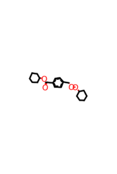 O=C(OC1CCCCC1)c1ccc(COOC2CCCCC2)cc1